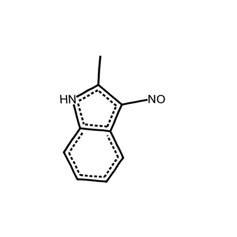 Cc1[nH]c2ccccc2c1N=O